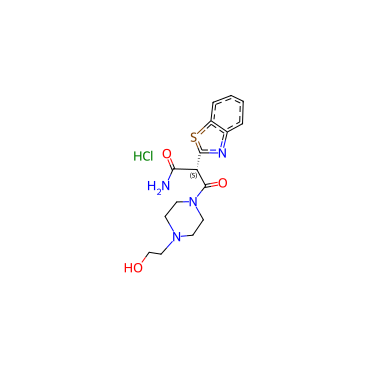 Cl.NC(=O)[C@@H](C(=O)N1CCN(CCO)CC1)c1nc2ccccc2s1